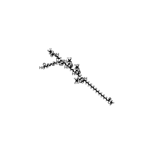 CC(C)(C)OC(=O)CCCCCCCCCCCCCCCCCCC(=O)N[C@@H](CCC(=O)N[C@@H](CCCC(=O)N[C@@H](CCC(=O)N[C@@H](CCCCNC(=O)OC(C)(C)C)C(=O)NCCOCCOCC(=O)O)C(=O)OC(C)(C)C)C(=O)OC(C)(C)C)C(=O)OC(C)(C)C